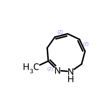 C/C1=N/NC/C=C\C=C/C1